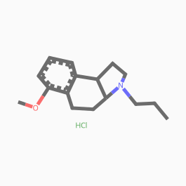 CCCN1CCC2c3cccc(OC)c3CCC21.Cl